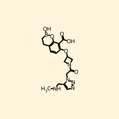 CNCc1cnnn1CC(=O)N1CC(Oc2ccc3c(c2C(=O)O)OB(O)CC3)C1